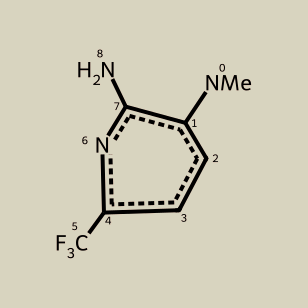 CNc1ccc(C(F)(F)F)nc1N